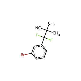 CC(C)(C#N)C(F)(F)c1cccc(Br)c1